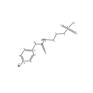 CS(=O)(=O)CCCNC(=S)Sc1ccc(Br)cc1